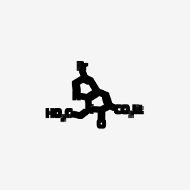 CCOC(=O)c1cc2cc(Br)cnc2n(CC(=O)O)c1=O